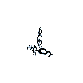 CC(C)Cc1ccc(-c2nn[nH]n2)c(N2CCN(Cc3cn(C)cn3)CC2)c1